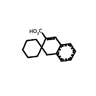 O=C(O)C1=Cc2ccccc2CC12CCCCC2